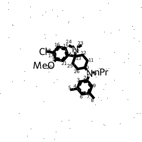 CCCN(c1cc(C)cc(C)c1)C1CCC(c2ccc(Cl)c(OC)c2)(N(C)C)CC1